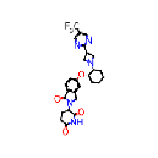 O=C1CC[C@@H](N2Cc3cc(O[C@H]4CCCC[C@H]4N4CC(c5ncc(C(F)(F)F)cn5)C4)ccc3C2=O)C(=O)N1